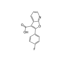 O=C(O)c1c(-c2ccc(F)cc2)oc2ncccc12